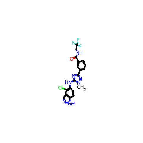 Cn1nc(-c2cccc(C(=O)NCC(F)(F)F)c2)nc1Nc1ccc2[nH]ncc2c1Cl